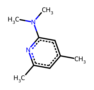 Cc1cc(C)nc(N(C)C)c1